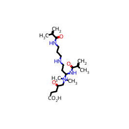 C=C(C)C(=O)NCCCNCCC(NC(=O)C(=C)C)[N+](C)(C)CC(=O)CCC(=O)O